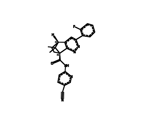 CC1(C)[C@@H]2CC[C@@]1(C(=O)Nc1ccc(C#N)cn1)c1nnc(-c3ccccc3F)cc12